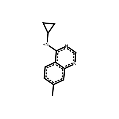 Cc1ccc2c(NC3CC3)ncnc2c1